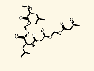 CNC(CC(C)C)C(=O)OCOC(=O)C(CC(C)C)NC(=O)CC(=O)OCOC(=O)CC(C)=O